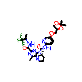 Cc1nc(C(=O)NC(C)C(F)(F)F)nc2c1N1CCC[C@@H](C1)N2C(=O)Nc1ccc(OCC2COC(C)(C)O2)cn1